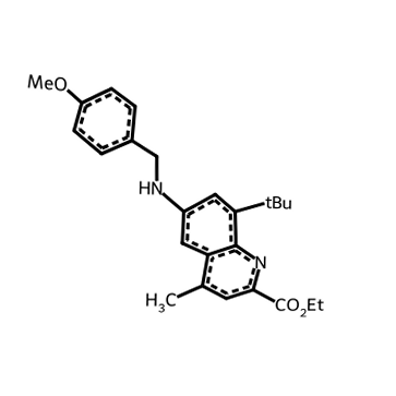 CCOC(=O)c1cc(C)c2cc(NCc3ccc(OC)cc3)cc(C(C)(C)C)c2n1